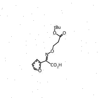 CC(C)(C)OC(=O)CCON=C(C(=O)O)c1ccco1